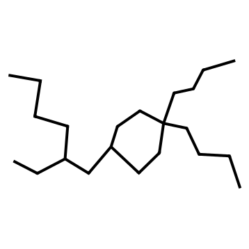 CCCCC(CC)CC1CCC(CCCC)(CCCC)CC1